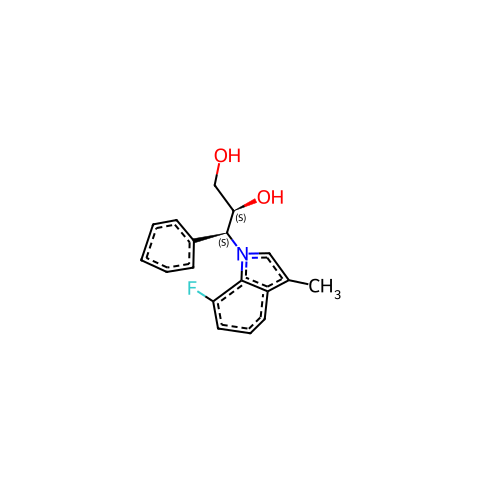 Cc1cn([C@@H](c2ccccc2)[C@H](O)CO)c2c(F)cccc12